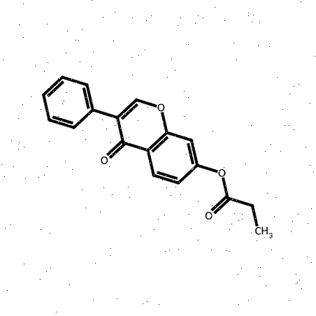 CCC(=O)Oc1ccc2c(=O)c(-c3ccccc3)coc2c1